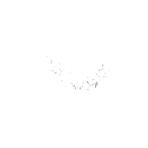 C/C=C/C1COC(C2CCC(C(F)(F)Oc3ccc(C(F)(F)Oc4ccc(F)cc4)c(F)c3)CC2)OC1